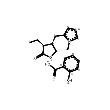 CC[C@@H]1C(=O)OC[C@@H]1Cc1cncn1C.O=C(O)c1ccccc1O